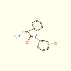 NC=C1C(=O)N(c2cccc(Cl)c2)c2ccccc21